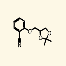 CC1(C)OCC(COc2ccccc2C#N)O1